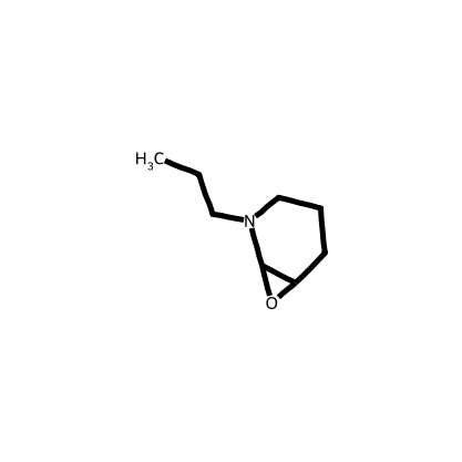 CCCN1CCCC2OC21